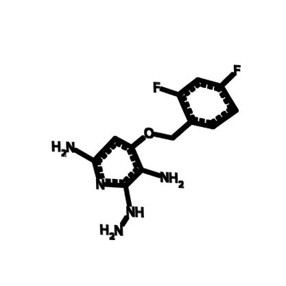 NNc1nc(N)cc(OCc2ccc(F)cc2F)c1N